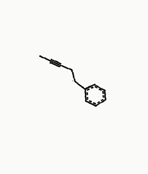 CC#CC[CH]c1ccccc1